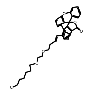 O=C1OC2(c3ccccc3Oc3cccc(N4CCC4)c32)c2cc(C=CCCOCCOCCCCCCCl)ccc21